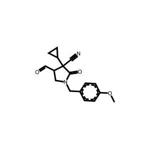 COc1ccc(CN2CC(C=O)C(C#N)(C3CC3)C2=O)cc1